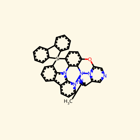 Cc1cc2n(n1)[N+]13c4c(ccc5c4-n4c6c(cccc6c6ccc[n+]1c64)[Si]51c4ccccc4-c4ccccc41)Oc1cncc-2[n+]13